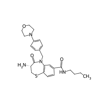 CCCCNC(=O)c1ccc2c(c1)N(Cc1ccc(N3CCOCC3)cc1)C(=O)[C@@H](N)CS2